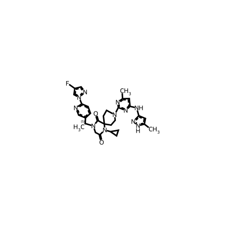 Cc1cc(Nc2cc(C)[nH]n2)nc(N2CCC3(CC2)C(=O)N([C@@H](C)c2ccc(-n4cc(F)cn4)nc2)CC(=O)N3C2CC2)n1